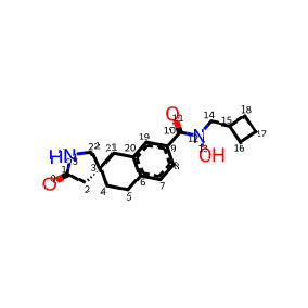 O=C1C[C@]2(CCc3ccc(C(=O)N(O)CC4CCC4)cc3C2)CN1